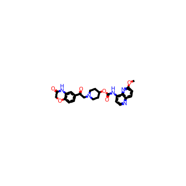 COc1ccc2nccc(NC(=O)OC3CCN(CC(=O)c4ccc5c(c4)NC(=O)CO5)CC3)c2n1